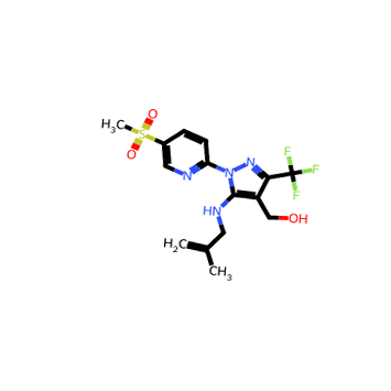 C=C(C)CNc1c(CO)c(C(F)(F)F)nn1-c1ccc(S(C)(=O)=O)cn1